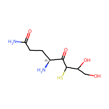 NC(=O)CC[C@H](N)C(=O)C(S)C(O)CO